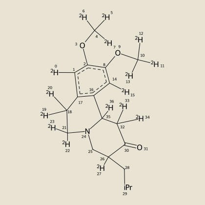 [2H]c1c(OC([2H])([2H])[2H])c(OC([2H])([2H])[2H])c([2H])c2c1C([2H])([2H])C([2H])([2H])N1CC([2H])(CC(C)C)C(=O)C([2H])([2H])C21[2H]